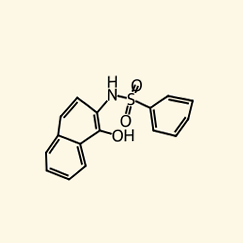 O=S(=O)(Nc1ccc2ccccc2c1O)c1ccccc1